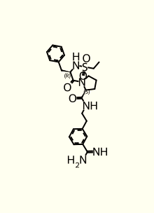 CCS(=O)(=O)N[C@H](Cc1ccccc1)C(=O)N1CCC[C@H]1C(=O)NCCc1cccc(C(=N)N)c1